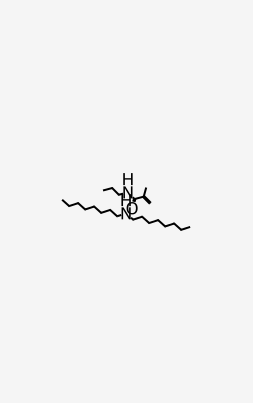 C=C(C)C(=O)NCCC.CCCCCCCCNCCCCCCCC